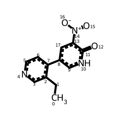 CCc1cnccc1-c1c[nH]c(=O)c([N+](=O)[O-])c1